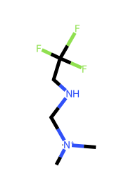 C[N+](C)CNCC(F)(F)F